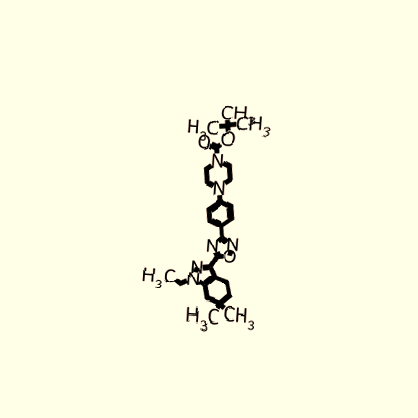 CCn1nc(-c2nc(-c3ccc(N4CCN(C(=O)OC(C)(C)C)CC4)cc3)no2)c2c1CC(C)(C)CC2